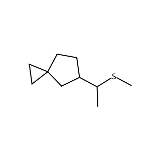 CSC(C)C1CCC2(CC2)C1